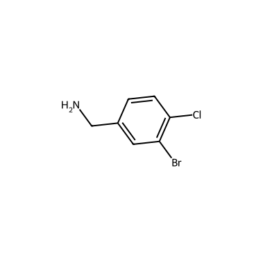 NCc1ccc(Cl)c(Br)c1